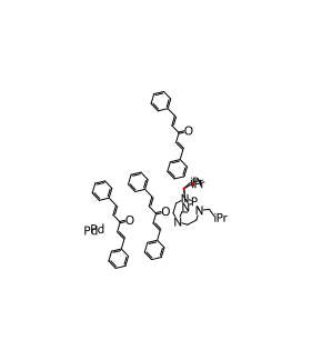 CC(C)CN1CCN2CCN(CC(C)C)P1N(CC(C)C)CC2.O=C(C=Cc1ccccc1)C=Cc1ccccc1.O=C(C=Cc1ccccc1)C=Cc1ccccc1.O=C(C=Cc1ccccc1)C=Cc1ccccc1.[Pd].[Pd]